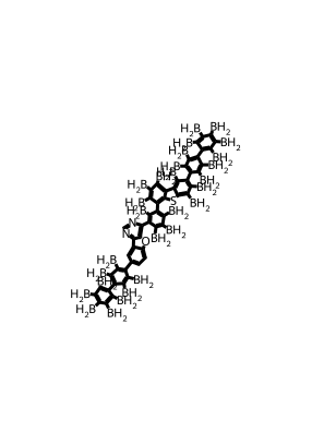 Bc1c(B)c(B)c(-c2c(B)c(B)c(-c3ccc4oc5c(-c6c(B)c(B)c(B)c(-c7c(B)c(B)c(B)c8c7sc7c(B)c(B)c(-c9c(B)c(B)c(-c%10c(B)c(B)c(B)c(B)c%10B)c(B)c9B)c(B)c78)c6B)ncnc5c4c3)c(B)c2B)c(B)c1B